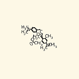 CC(=O)[O-].CC1=CC(=[N+](C)C)C=CC1=C(C)C=C=Cc1ccc(N(C)C)cc1C